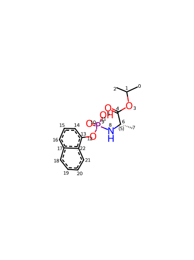 CC(C)OC(=O)[C@H](C)NP(=O)(O)Oc1cccc2ccccc12